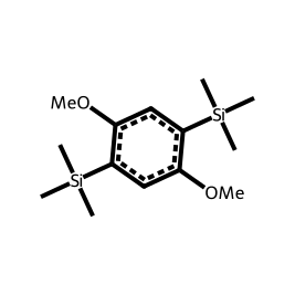 COc1cc([Si](C)(C)C)c(OC)cc1[Si](C)(C)C